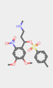 CNCCC(OS(=O)(=O)c1ccc(C)cc1)c1cc(OC)c(OC)cc1[N+](=O)[O-]